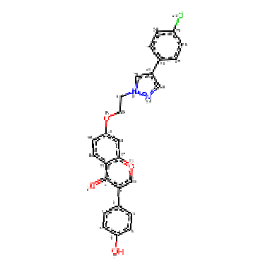 O=c1c(-c2ccc(O)cc2)coc2cc(OCCn3cc(-c4ccc(Cl)cc4)cn3)ccc12